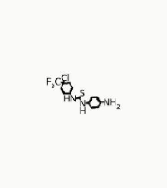 Nc1ccc(NC(=S)NC2=CCC(Cl)(C(F)(F)F)C=C2)cc1